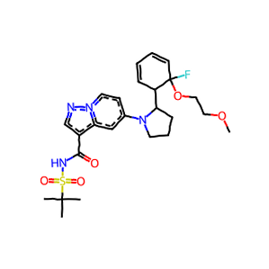 COCCOC1(F)C=CC=CC1C1CCCN1c1ccn2ncc(C(=O)NS(=O)(=O)C(C)(C)C)c2c1